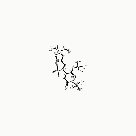 CCO[Si](CCCN(C(CC(=O)O[Si](C(C)C)(C(C)C)C(C)C)C(=O)O[Si](C(C)C)(C(C)C)C(C)C)[Si](C)(C)C)(OCC)OCC